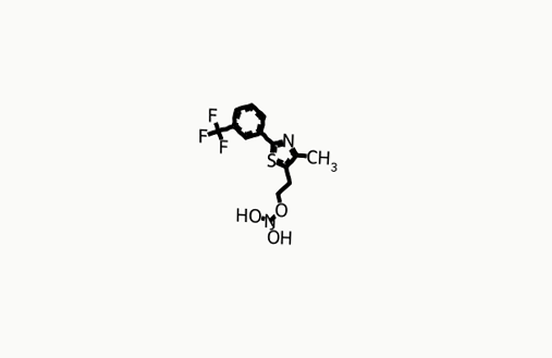 Cc1nc(-c2cccc(C(F)(F)F)c2)sc1CCON(O)O